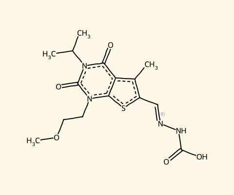 COCCn1c(=O)n(C(C)C)c(=O)c2c(C)c(/C=N/NC(=O)O)sc21